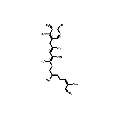 C=C/C(=C\C/C=C(\C)CO/C(C)=C(/C=C(\C)CC(/C=N\CS)=C(\N)N=C)OC)OC